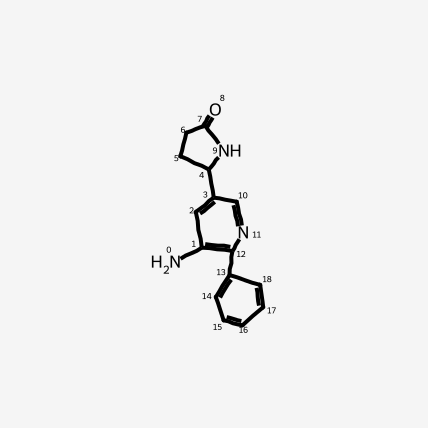 Nc1cc(C2CCC(=O)N2)cnc1-c1ccccc1